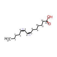 CCCC/C=C\C=C/CCCCCC(=O)O